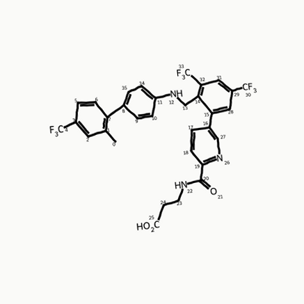 Cc1cc(C(F)(F)F)ccc1-c1ccc(NCc2c(-c3ccc(C(=O)NCCC(=O)O)nc3)cc(C(F)(F)F)cc2C(F)(F)F)cc1